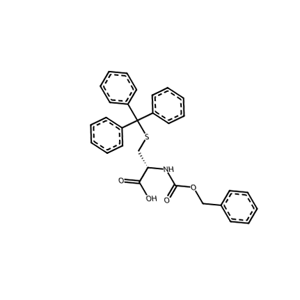 O=C(N[C@@H](CSC(c1ccccc1)(c1ccccc1)c1ccccc1)C(=O)O)OCc1ccccc1